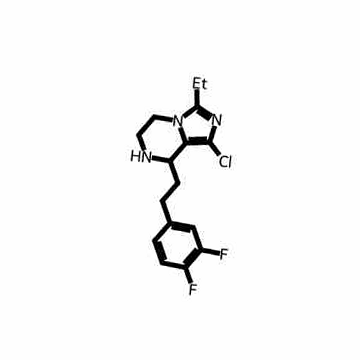 CCc1nc(Cl)c2n1CCNC2CCc1ccc(F)c(F)c1